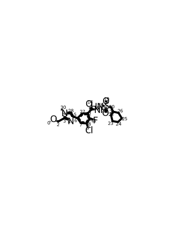 COCc1nc(-c2cc(Cl)c(F)c(C(=O)NNS(=O)(=O)CC3CCCCC3)c2)cn1C